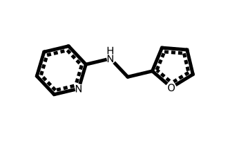 c1ccc(NCc2ccco2)nc1